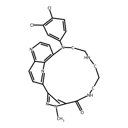 Cn1nc2cc1C(=O)NCCCNCCN(c1ccc(Cl)c(Cl)c1)c1ccnc3ccc-2nc13